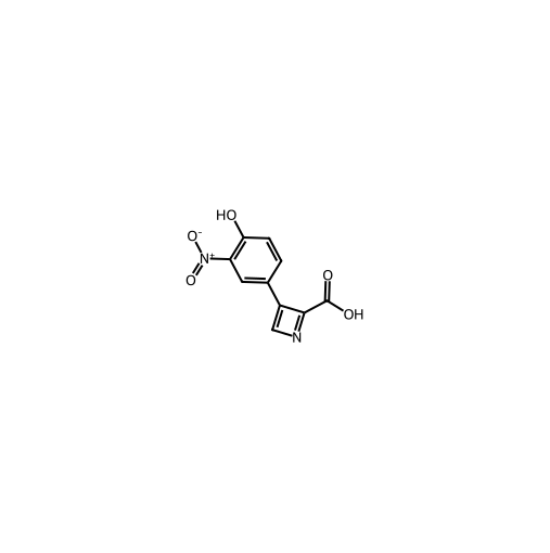 O=C(O)C1=NC=C1c1ccc(O)c([N+](=O)[O-])c1